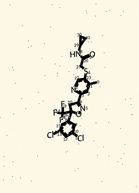 Cc1cc(C2=NOC(c3cc(Cl)cc(Cl)c3)(C(F)(F)F)C2)ncc1SCC(=O)NC1CC1